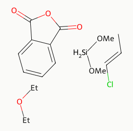 CC=CCl.CCOCC.CO[SiH2]OC.O=C1OC(=O)c2ccccc21